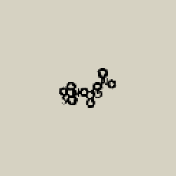 C1=CC(N(c2ccc3c(c2)c2ccccc2c2oc4cc(N(c5ccccc5)c5ccccc5)ccc4c32)c2cccc3sc4ccccc4c23)=CCC1